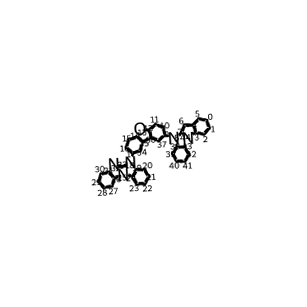 c1ccc2c(c1)cc1n(-c3ccc4oc5ccc(-n6c7ccccc7n7c8ccccc8nc67)cc5c4c3)c3ccccc3n21